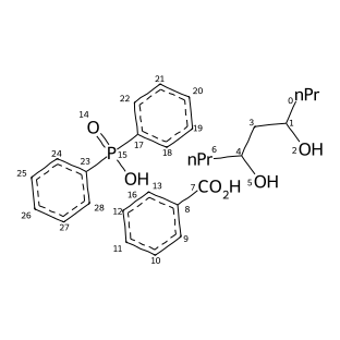 CCCC(O)CC(O)CCC.O=C(O)c1ccccc1.O=P(O)(c1ccccc1)c1ccccc1